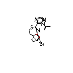 CC(C)n1ncnc1C1=NC23C=CC=C(Br)C2=COC3CCS1